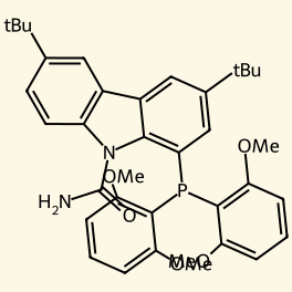 COc1cccc(OC)c1P(c1c(OC)cccc1OC)c1cc(C(C)(C)C)cc2c3cc(C(C)(C)C)ccc3n(C(N)=O)c12